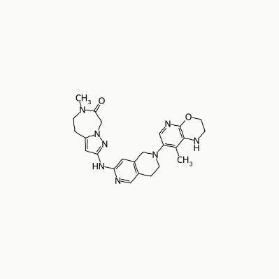 Cc1c(N2CCc3cnc(Nc4cc5n(n4)CC(=O)N(C)CC5)cc3C2)cnc2c1NCCO2